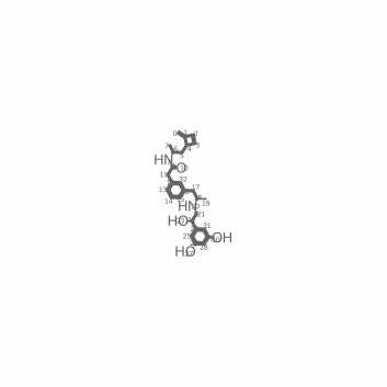 C=C1C=CC1CC(C)NC(=O)Cc1cccc(C[C@@H](C)NC[C@H](O)c2cc(O)cc(O)c2)c1